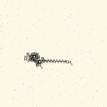 CCCCCCCCCCCCCCCCOC(=O)c1ccc(OC)c(NC(=O)C(C(=O)C(C)(C)C)N2C(=O)OC(C)(C)C2=O)c1